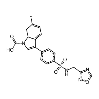 O=C(O)N1C=C(c2ccc(S(=O)(=O)NCc3ncon3)cc2)C2=CC=C(F)CC21